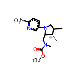 CC1CN(c2ccc([N+](=O)[O-])nc2)C(CN(C)C(=O)OC(C)(C)C)[C@H]1C